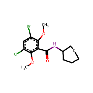 COc1c(Cl)cc(Br)c(OC)c1C(=O)PC1CCCCC1